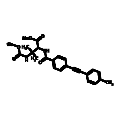 COC(=O)C(NC(=O)c1ccc(C#Cc2ccc(C)cc2)cc1)C(C)(C)NC(=O)OC(C)(C)C